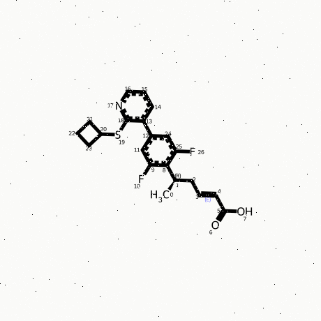 C[C@H](C/C=C/C(=O)O)c1c(F)cc(-c2cccnc2SC2CCC2)cc1F